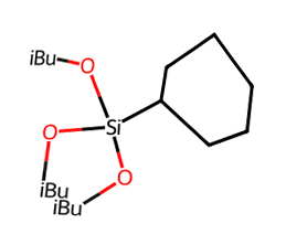 CCC(C)O[Si](OC(C)CC)(OC(C)CC)C1CCCCC1